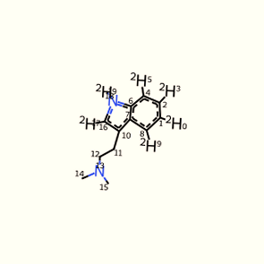 [2H]c1c([2H])c([2H])c2c(c1[2H])c(CCN(C)C)c([2H])n2[2H]